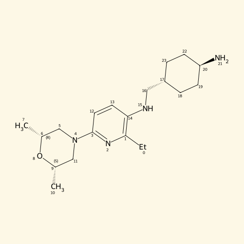 CCc1nc(N2C[C@@H](C)O[C@@H](C)C2)ccc1NC[C@H]1CC[C@H](N)CC1